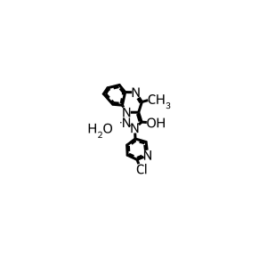 CC1=Nc2ccccc2N2[N]N(c3ccc(Cl)nc3)C(O)=C12.O